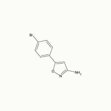 Nc1cc(-c2ccc(Br)cc2)on1